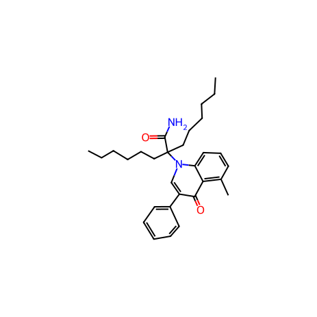 CCCCCCC(CCCCCC)(C(N)=O)n1cc(-c2ccccc2)c(=O)c2c(C)cccc21